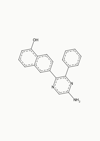 Nc1cnc(-c2ccc3c(O)cccc3c2)c(-c2ccccc2)n1